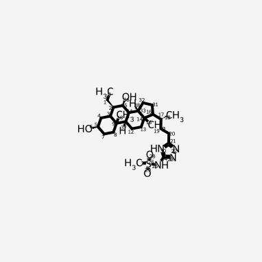 CC[C@@H]1C2C[C@H](O)CCC2(C)[C@H]2CCC3(C)C([C@H](C)CCc4nnc(NS(C)(=O)=O)[nH]4)CC[C@H]3C2[C@@H]1O